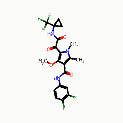 COc1c(C(=O)Nc2ccc(F)c(F)c2)c(C)n(C)c1C(=O)C(=O)NC1(C(F)(F)F)CC1